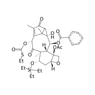 CCSC(=O)O[C@H]1C(=O)[C@]2(C)[C@@H](O[Si](CC)(CC)CC)C[C@H]3OC[C@@]3(OC(C)=O)[C@H]2[C@H](OC(=O)c2ccccc2)[C@]2(O)CC(=O)C(C)=C1C2(C)C